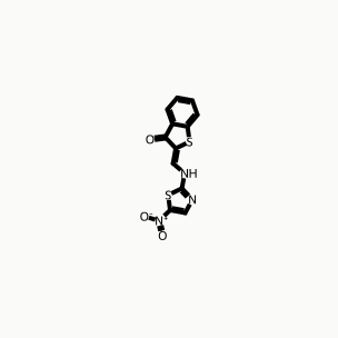 O=C1/C(=C/Nc2ncc([N+](=O)[O-])s2)Sc2ccccc21